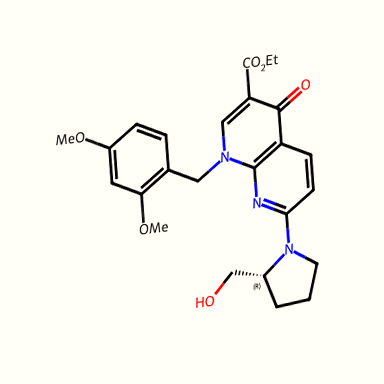 CCOC(=O)c1cn(Cc2ccc(OC)cc2OC)c2nc(N3CCC[C@@H]3CO)ccc2c1=O